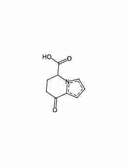 O=C1CCC(C(=O)O)n2cccc21